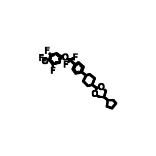 FOc1c(F)cc(OC(F)(F)c2ccc(C3CCC(C4OCC(C5CCCC5)CO4)CC3)cc2)cc1F